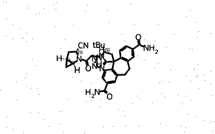 CC(C)(C)[C@H](CC1(c2nnn[nH]2)c2ccc(C(N)=O)cc2CCc2cc(C(N)=O)ccc21)NCC(=O)N1[C@H](C#N)C[C@@H]2C[C@@H]21